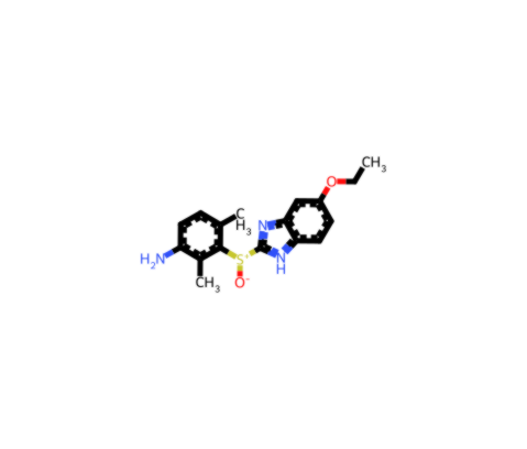 CCOc1ccc2[nH]c([S+]([O-])c3c(C)ccc(N)c3C)nc2c1